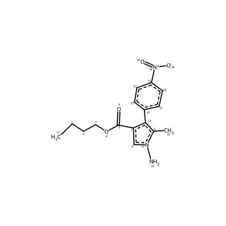 CCCCOC(=O)c1cn(N)c(C)c1-c1ccc([N+](=O)[O-])cc1